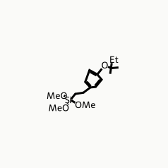 CCC(C)(C)Oc1ccc(CC[Si](OC)(OC)OC)cc1